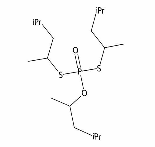 CC(C)CC(C)OP(=O)(SC(C)CC(C)C)SC(C)CC(C)C